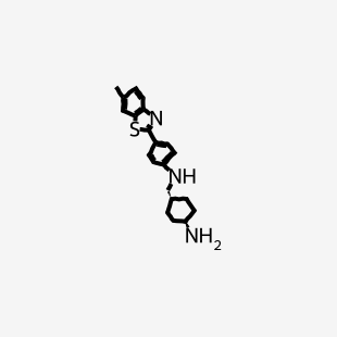 Cc1ccc2nc(-c3ccc(NC[C@H]4CC[C@H](N)CC4)cc3)sc2c1